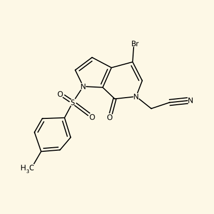 Cc1ccc(S(=O)(=O)n2ccc3c(Br)cn(CC#N)c(=O)c32)cc1